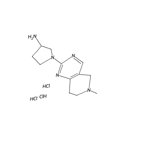 CN1CCc2nc(N3CCC(N)C3)ncc2C1.Cl.Cl.Cl